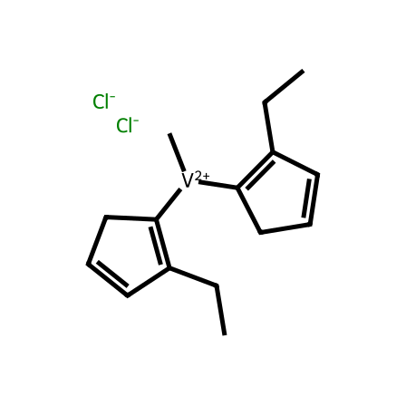 CCC1=[C]([V+2]([CH3])[C]2=C(CC)C=CC2)CC=C1.[Cl-].[Cl-]